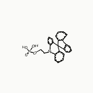 O=P(O)(O)OCCN1c2ccccc2C2(c3ccccc3-c3ccccc32)c2ccccc21